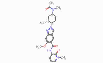 COc1cc2nn([C@H]3CC[C@H](N(C)C(C)=O)C[C@H]3C)cc2cc1C(=O)Nc1cccn(C)c1=O